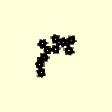 c1ccc(-c2ccc3oc4cc(-c5nc(-c6ccccc6)nc(-c6cccc(-n7c8ccccc8c8cc9c%10ccccc%10n(-c%10ccccc%10)c9cc87)c6)n5)ccc4c3c2)cc1